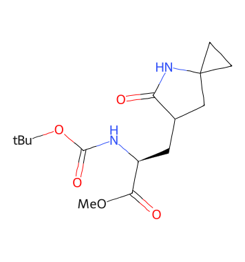 COC(=O)[C@H](CC1CC2(CC2)NC1=O)NC(=O)OC(C)(C)C